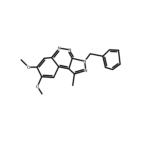 COc1cc2nnc3c(c(C)nn3Cc3ccccc3)c2cc1OC